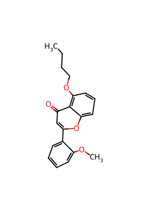 CCCCOc1cccc2oc(-c3ccccc3OC)cc(=O)c12